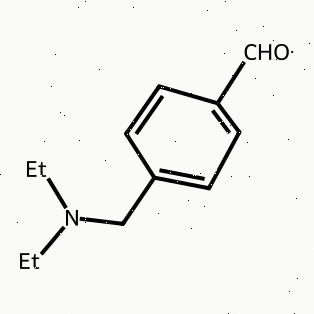 CCN(CC)Cc1ccc([C]=O)cc1